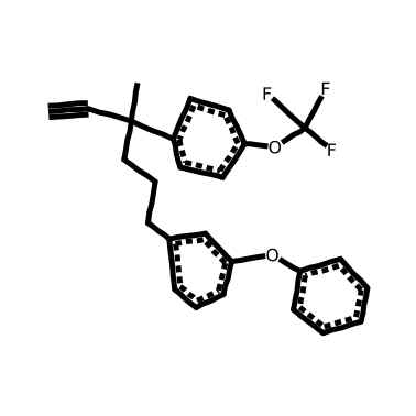 C#CC(C)(CCCc1cccc(Oc2ccccc2)c1)c1ccc(OC(F)(F)F)cc1